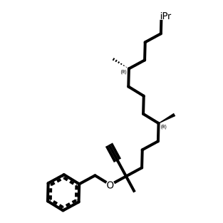 C#CC(C)(CCC[C@H](C)CCC[C@H](C)CCCC(C)C)OCc1ccccc1